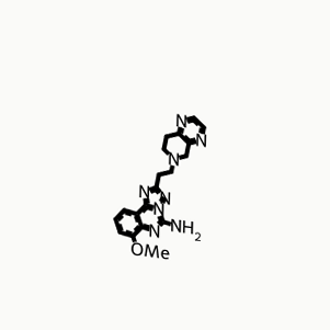 COc1cccc2c1nc(N)n1nc(CCN3CCc4nccnc4C3)nc21